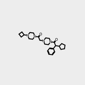 O=C(CN1CCN(C(=O)C(c2ccccc2)C2CCCC2)CC1)N1CCN(C2CCC2)CC1